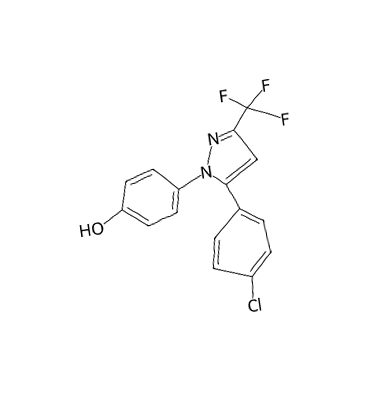 Oc1ccc(-n2nc(C(F)(F)F)cc2-c2ccc(Cl)cc2)cc1